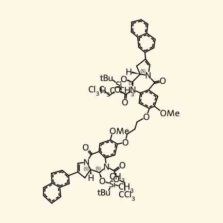 COc1cc2c(cc1OCCCOc1cc3c(cc1OC)C(=O)N1C=C(c4ccc5ccccc5c4)C[C@H]1[C@H](O[Si](C)(C)C(C)(C)C)N3C(=O)OCC(Cl)(Cl)Cl)N(C(=O)OCC(Cl)(Cl)Cl)[C@@H](O[Si](C)(C)C(C)(C)C)[C@@H]1CC(c3ccc4ccccc4c3)=CN1C2=O